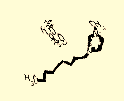 CCCCCCCCn1cc[n+](C)c1.O.O.O.[Fe].[Fe]